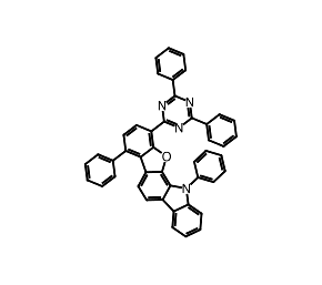 c1ccc(-c2nc(-c3ccccc3)nc(-c3ccc(-c4ccccc4)c4c3oc3c4ccc4c5ccccc5n(-c5ccccc5)c43)n2)cc1